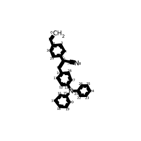 C=Cc1ccc(C(C#N)=Cc2ccc(N(c3ccccc3)c3ccccc3)cc2)cc1